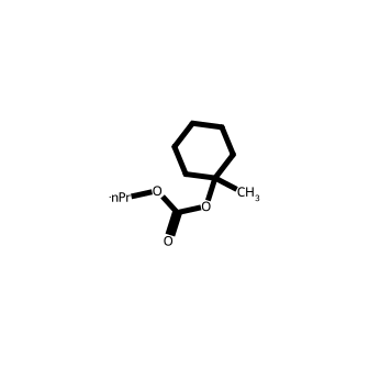 CC[CH]OC(=O)OC1(C)CCCCC1